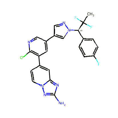 CC(F)(F)[C@@H](c1ccc(F)cc1)n1cc(-c2cnc(Cl)c(-c3ccn4nc(N)nc4c3)c2)cn1